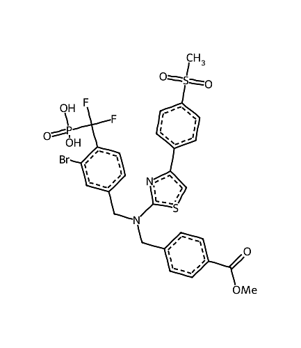 COC(=O)c1ccc(CN(Cc2ccc(C(F)(F)P(=O)(O)O)c(Br)c2)c2nc(-c3ccc(S(C)(=O)=O)cc3)cs2)cc1